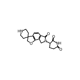 O=C1CCC(N2Cc3c(ccc4c3OCC43CCNCC3)C2=O)C(=O)N1